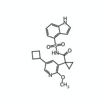 COc1ncc(C2CCC2)cc1C1(C(=O)NS(=O)(=O)c2cccc3[nH]ccc23)CC1